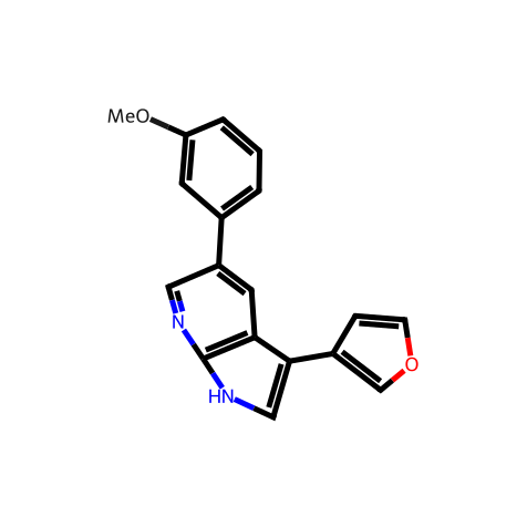 COc1cccc(-c2cnc3[nH]cc(-c4ccoc4)c3c2)c1